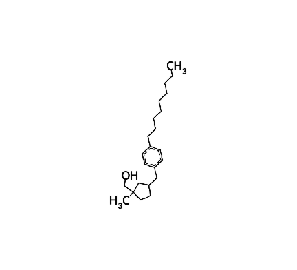 CCCCCCCCCc1ccc(CC2CCC(C)(CO)C2)cc1